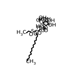 CCCCCCCCCCCCCCCC(=O)O[C@H](CCSC(=O)CCC)COP(=O)(O)OC1C(O)[C@@H](OP(=O)(O)O)C(O)[C@@H](O)[C@H]1O